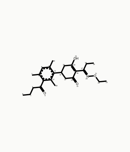 CCCC(=O)c1c(C)cc(C)c(C2CC(=O)C(C(CC)=NOCC)=C(O)C2)c1C